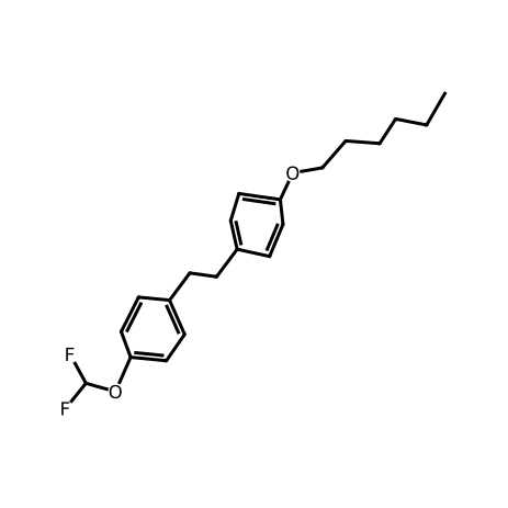 CCCCCCOc1ccc(CCc2ccc(OC(F)F)cc2)cc1